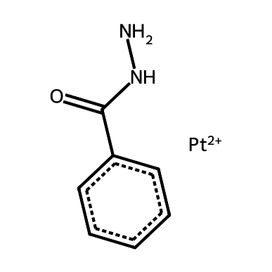 NNC(=O)c1ccccc1.[Pt+2]